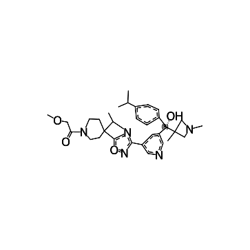 COCC(=O)N1CCC(c2nc(-c3cncc([C@@](O)(c4ccc(C(C)C)cc4)C4(C)CN(C)C4)c3)no2)(C(C)C)CC1